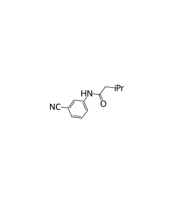 CC(C)CC(=O)Nc1cccc(C#N)c1